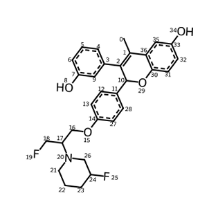 CC1=C(c2cccc(O)c2)C(c2ccc(OCC(CF)N3CCCC(F)C3)cc2)Oc2ccc(O)cc21